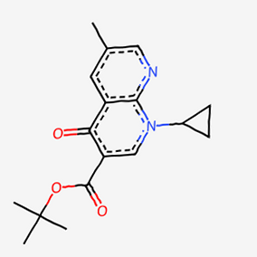 Cc1cnc2c(c1)c(=O)c(C(=O)OC(C)(C)C)cn2C1CC1